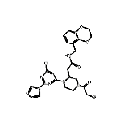 CC(C)CC(=O)N1CCN(c2cc(Cl)nc(-n3ccnc3)n2)C(CC(=O)NCc2cccc3c2OCCO3)C1